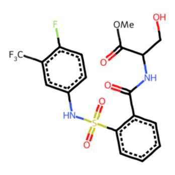 COC(=O)C(CO)NC(=O)c1ccccc1S(=O)(=O)Nc1ccc(F)c(C(F)(F)F)c1